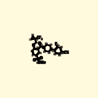 CNS(=O)(=O)c1ccc(OCC2(C(F)(F)F)CC2)c(C(=O)N2CCN(c3ccc(C#N)cc3F)CC2)c1